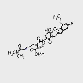 COC(=O)N[C@@H](CC/C=C/C(=O)N(C)C)C(=O)Nc1cccn(Cc2cc3cc(F)cc(CCC(F)(F)F)c3n2C(=O)O)c1=O